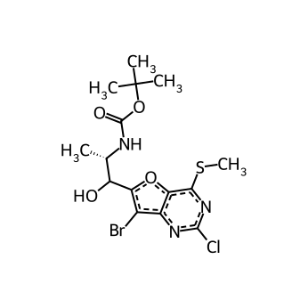 CSc1nc(Cl)nc2c(Br)c(C(O)[C@H](C)NC(=O)OC(C)(C)C)oc12